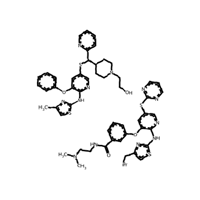 CC(C)Cc1csc(Nc2ncc(Sc3ncccn3)cc2Oc2cccc(C(=O)NCCN(C)C)c2)n1.Cc1csc(Nc2ncc(SC(c3ccccn3)C3CCN(CCO)CC3)cc2Oc2ccccc2)n1